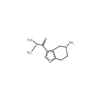 CN1CCc2onc(C(=O)N(C)C)c2C1